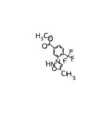 COC(=O)c1ccc(C(F)(F)F)c(N2C=C(C)ON2)c1